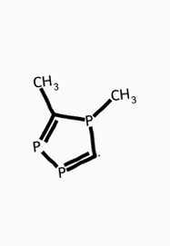 Cc1pp[c]p1C